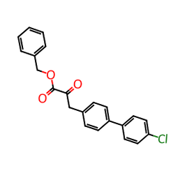 O=C(Cc1ccc(-c2ccc(Cl)cc2)cc1)C(=O)OCc1ccccc1